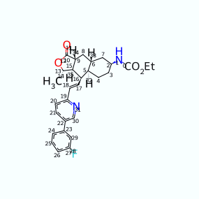 CCOC(=O)N[C@H]1CC[C@@H]2[C@@H](C1)C[C@H]1C(=O)O[C@@H](C)[C@@H]1[C@@H]2/C=C/c1ccc(-c2cccc(F)c2)cn1